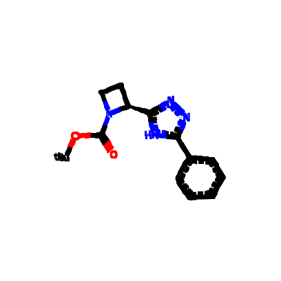 CC(C)(C)OC(=O)N1CC[C@H]1c1nnc(-c2ccccc2)[nH]1